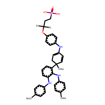 CCC(CC)(CCP(=O)(O)O)Oc1ccc(NC2=CCC(OC)(c3cccc(Nc4ccc(OC)cc4)c3Nc3ccc(OC)cc3)C=C2)cc1